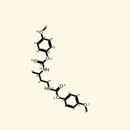 COc1ccc(OC(=O)NCCC(C)NC(=O)Oc2ccc(OC)cc2)cc1